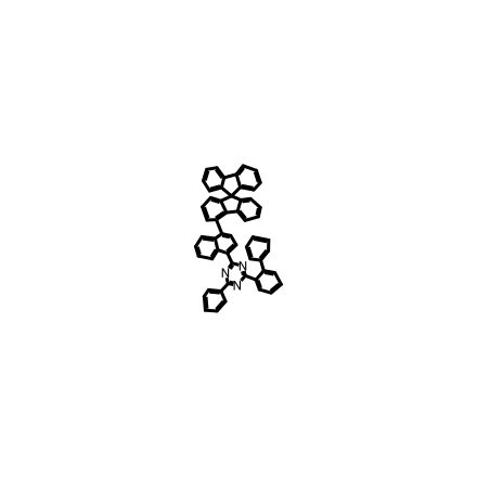 c1ccc(-c2nc(-c3ccccc3-c3ccccc3)nc(-c3ccc(-c4cccc5c4-c4ccccc4C54c5ccccc5-c5ccccc54)c4ccccc34)n2)cc1